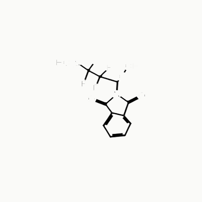 O=C1c2ccccc2C(=O)N1C(CO)C(F)(F)C(F)(F)S(=O)(=O)O